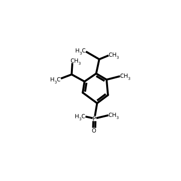 Cc1cc(P(C)(C)=O)cc(C(C)C)c1C(C)C